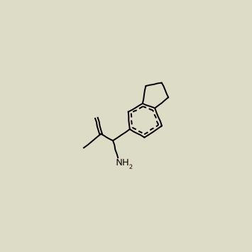 C=C(C)C(N)c1ccc2c(c1)CCC2